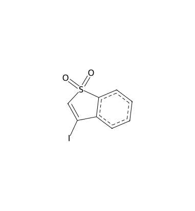 O=S1(=O)C=C(I)c2ccccc21